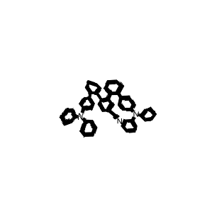 N#Cc1ccc(-c2ccccc2-c2ccc(N(c3ccccc3)c3ccccc3)cc2)c(-c2ccccc2C2=CCC(N(c3ccccc3)c3ccccc3)C=C2)c1